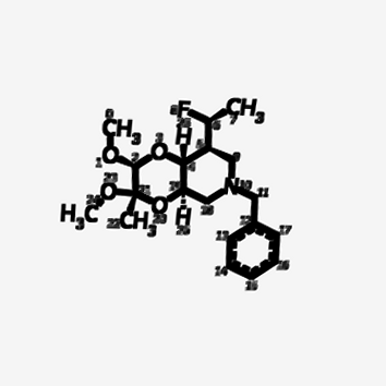 CO[C@H]1O[C@@H]2[C@@H]([C@H](C)F)CN(Cc3ccccc3)C[C@H]2O[C@]1(C)OC